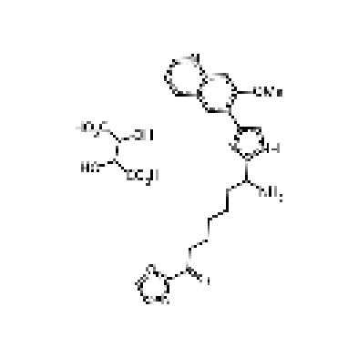 COc1cc2ncccc2cc1-c1c[nH]c(C(N)CCCCCC(=O)c2ncco2)n1.O=C(O)C(O)C(O)C(=O)O